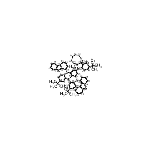 CC(C)(C)c1ccc2c(c1)B1c3cc(C(C)(C)C)ccc3N(c3cccc4sc5ccccc5c34)c3cc(N4c5ccc(C(C)(C)C)cc5C5(C)CCCCCCC45C)cc(c31)N2c1cccc2c1sc1ccccc12